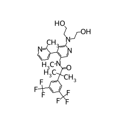 Cc1ncccc1-c1cc(N(CCO)CCO)ncc1N(C)C(=O)C(C)(C)c1cc(C(F)(F)F)cc(C(F)(F)F)c1